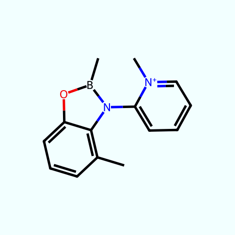 CB1Oc2cccc(C)c2N1c1cccc[n+]1C